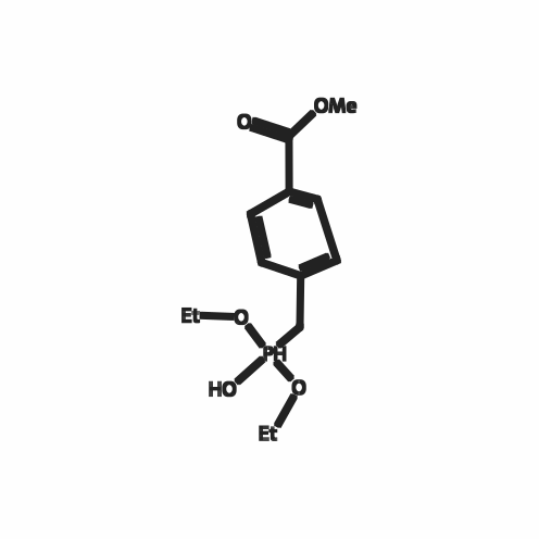 CCO[PH](O)(Cc1ccc(C(=O)OC)cc1)OCC